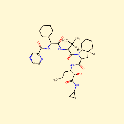 CCC[C@@H](NC(=O)[C@@H]1C[C@@H]2CCCC[C@@H]2N1C(=O)[C@@H](NC(=O)[C@@H](NC(=O)c1cnccn1)C1CCCCC1)C(C)(C)C)C(=O)C(=O)NC1CC1